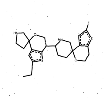 CCc1cc2c(s1)C(C1CCC3(CN1)OCCc1sc(F)cc13)COC21CCNC1